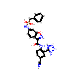 N#Cc1ccc(NC(=O)c2noc3cc(NS(=O)(=O)Cc4ccccc4)ccc23)c(-c2nnn[nH]2)c1